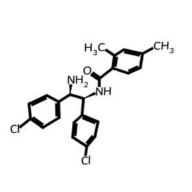 Cc1ccc(C(=O)N[C@@H](c2ccc(Cl)cc2)[C@H](N)c2ccc(Cl)cc2)c(C)c1